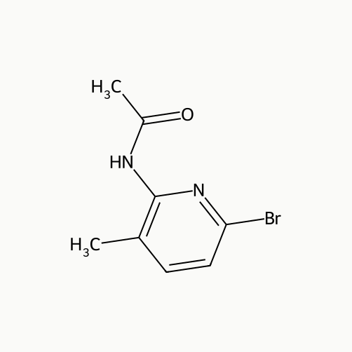 CC(=O)Nc1nc(Br)ccc1C